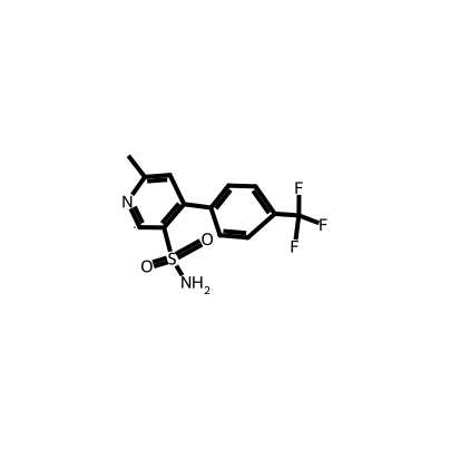 Cc1cc(-c2ccc(C(F)(F)F)cc2)c(S(N)(=O)=O)[c]n1